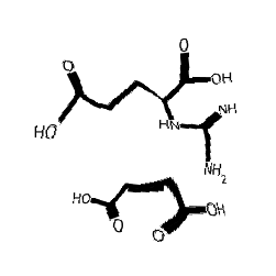 N=C(N)N[C@@H](CCC(=O)O)C(=O)O.O=C(O)/C=C\C(=O)O